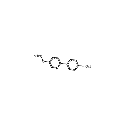 CCCCCCCCc1ccc(-c2ccc(OCCCCCC)cn2)cc1